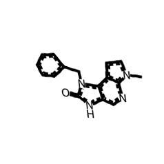 Cn1ccc2c1ncc1[nH]c(=O)n(Cc3ccccc3)c12